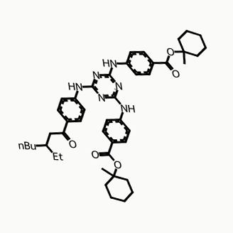 CCCCC(CC)CC(=O)c1ccc(Nc2nc(Nc3ccc(C(=O)OC4(C)CCCCC4)cc3)nc(Nc3ccc(C(=O)OC4(C)CCCCC4)cc3)n2)cc1